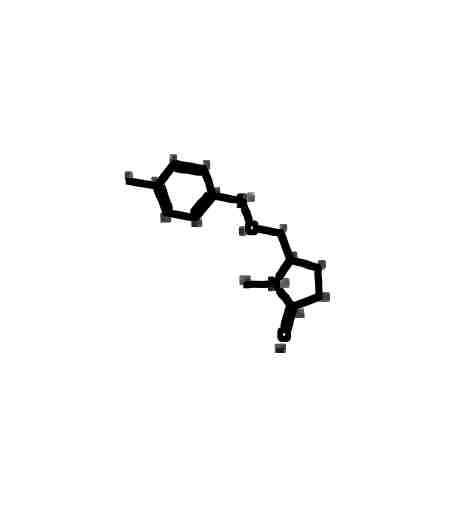 Cc1ccc(SOCC2CCC(=O)N2C)cc1